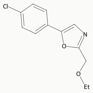 CCOCc1ncc(-c2ccc(Cl)cc2)o1